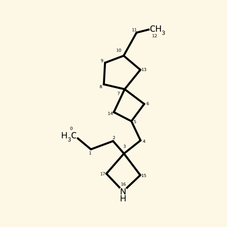 CCCC1(CC2CC3(CCC(CC)C3)C2)CNC1